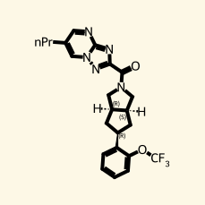 CCCc1cnc2nc(C(=O)N3C[C@H]4C[C@@H](c5ccccc5OC(F)(F)F)C[C@H]4C3)nn2c1